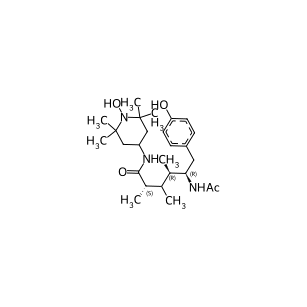 CC(=O)N[C@H](Cc1ccc(O)cc1)[C@H](C)C(C)[C@H](C)C(=O)NC1CC(C)(C)N(O)C(C)(C)C1